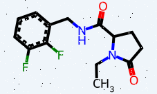 CCN1C(=O)CCC1C(=O)NCc1cccc(F)c1F